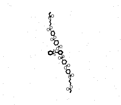 C=CC(=O)OCCCCOC(=O)[C@H]1CC[C@H](OC(=O)[C@H]2CC[C@H](C(=O)Oc3ccc(OC(=O)[C@H]4CC[C@H](C(=O)O[C@H]5CC[C@H](C(=O)OCCCCOC(=O)C=C)CC5)CC4)c(-c4nc5ccccc5s4)c3)CC2)CC1